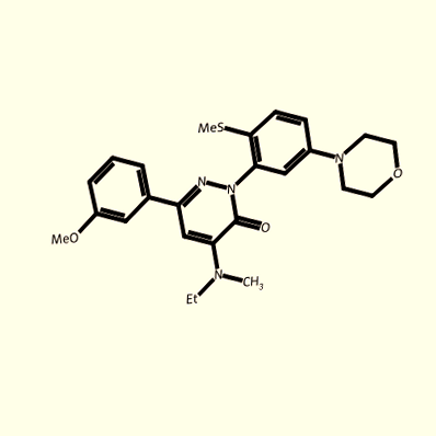 CCN(C)c1cc(-c2cccc(OC)c2)nn(-c2cc(N3CCOCC3)ccc2SC)c1=O